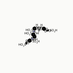 O=S(=O)(O)CCS(=O)(=O)c1ccc(/N=N/c2c(NCS(=O)(=O)O)ccc3c(O)c(/N=N/c4cc(Nc5nc(F)nc(Nc6ccc(S(=O)(=O)CCOS(=O)(=O)O)cc6)n5)ccc4S(=O)(=O)O)c(S(=O)(=O)O)cc23)cc1